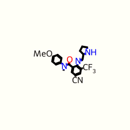 COc1ccc(N(C)C(=O)c2cc(C#N)cc(C(F)(F)F)c2/N=C/C2CCCN2)cc1